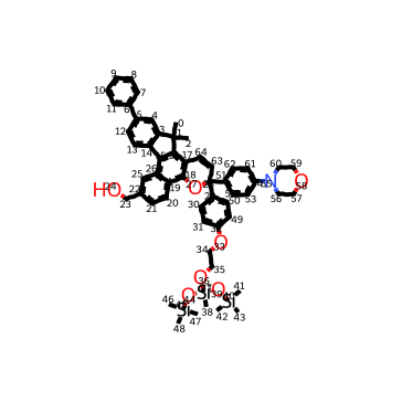 CC1(C)c2cc(-c3ccccc3)ccc2-c2c1c1c(c3ccc(CO)cc23)OC(c2ccc(OCCO[Si](C)(O[Si](C)(C)C)O[Si](C)(C)C)cc2)(c2ccc(N3CCOCC3)cc2)C=C1